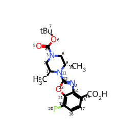 C[C@H]1CN(C(=O)OC(C)(C)C)C[C@H](C)N1c1nc2c(C(=O)O)ccc(F)c2o1